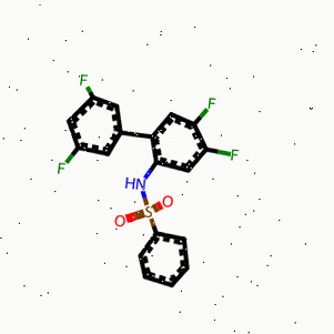 O=S(=O)(Nc1cc(F)c(F)cc1-c1cc(F)cc(F)c1)c1ccccc1